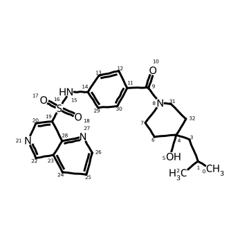 CC(C)CC1(O)CCN(C(=O)c2ccc(NS(=O)(=O)c3cncc4cccnc34)cc2)CC1